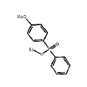 CCOP(=O)(c1ccccc1)c1ccc(OC)cc1